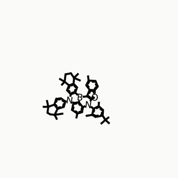 Cc1cc2c3c(c1)N(c1c(C)cc(C(C)(C)C)cc1C)c1oc4ccc(C)cc4c1B3c1cc3c(cc1N2c1ccc2c(c1)C(C)(C)CCC2(C)C)C(C)(C)CCC3(C)C